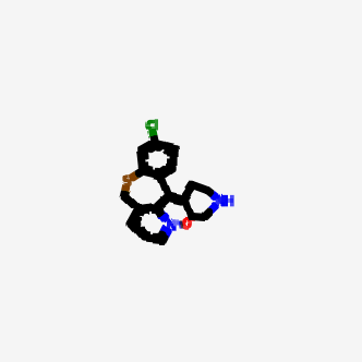 [O-][n+]1cccc2c1C(=C1CCNCC1)c1ccc(Cl)cc1SC2